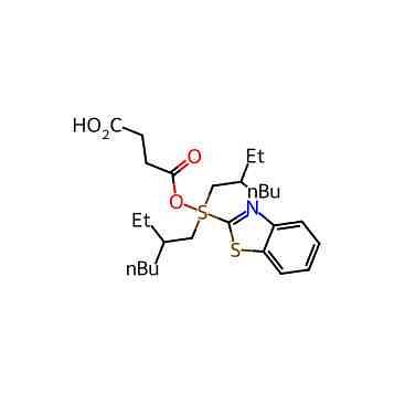 CCCCC(CC)CS(CC(CC)CCCC)(OC(=O)CCC(=O)O)c1nc2ccccc2s1